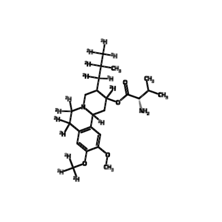 [2H]C([2H])([2H])Oc1cc2c(cc1OC)C1([2H])CC([2H])(OC(=O)[C@@H](N)C(C)C)C(C([2H])([2H])C([2H])(C)C([2H])([2H])[2H])CN1C([2H])([2H])C2([2H])[2H]